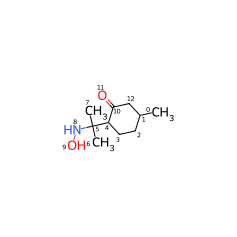 CC1CCC(C(C)(C)NO)C(=O)C1